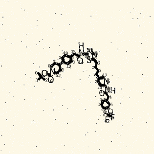 CC(C)(C)OC(=O)N1CCC(c2ccc(CC(=O)Nc3nnc(CCCCc4ccc(NC(=O)Cc5cccc(OC(F)(F)F)c5)nc4)s3)cc2)CC1